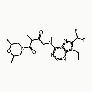 CCn1c(C(F)F)nc2c(NCC(=O)C(C)C(=O)N3CC(C)OC(C)C3)ncnc21